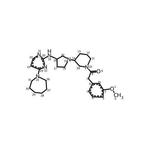 COc1cccc(CC(=O)N2CCCC(N3CCC(Nc4nccc(N5CCCCCC5)n4)C3)C2)c1